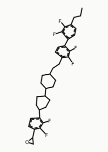 CCCc1ccc(-c2ccc(CCC3CCC(C4CCC(c5ccc(C6CO6)c(F)c5F)CC4)CC3)c(F)c2F)c(F)c1F